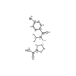 CC(C)N(C[C@@H]1CCN(C(=O)O)C1)C(=O)c1ccc(Br)cc1